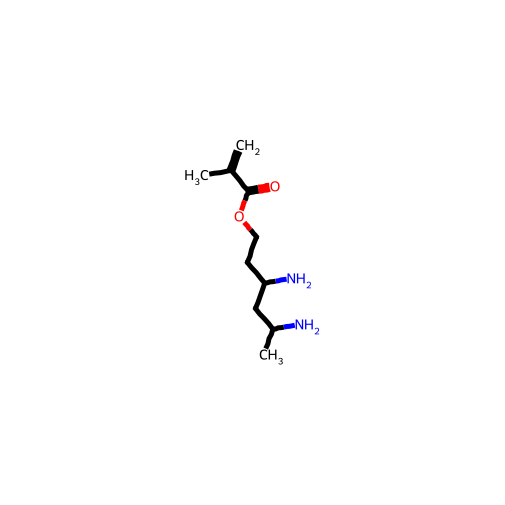 C=C(C)C(=O)OCCC(N)CC(C)N